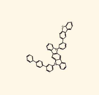 c1ccc(-c2ccc(-c3cccc(-n4c5ccccc5c5cc6c(cc54)c4ccccc4n6-c4cccc(-c5ccc6sc7ccccc7c6c5)c4)c3)cc2)cc1